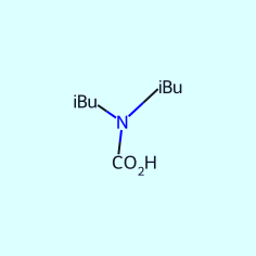 CCC(C)N(C(=O)O)C(C)CC